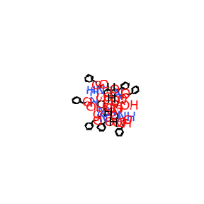 N[C@@H]1C[C@H](NC(=O)OCc2ccccc2)[C@@H](O[C@H]2O[C@@H]3CN(C(=O)OCc4ccccc4)C(c4ccccc4)O[C@H]3C[C@H]2NC(=O)OCc2ccccc2)[C@H](O[C@@H]2O[C@H](CO)[C@@H](O[C@H]3O[C@H]4CN(C(=O)OCc5ccccc5)C(c5ccccc5)O[C@H]4[C@H](O)[C@H]3NC(=O)OCc3ccccc3)[C@H]2O)[C@H]1O